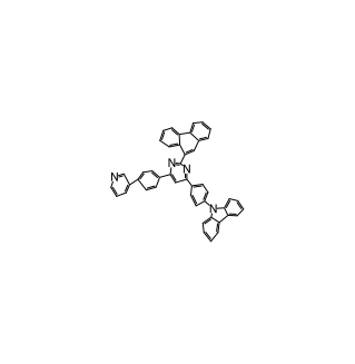 c1cncc(-c2ccc(-c3cc(-c4ccc(-n5c6ccccc6c6ccccc65)cc4)nc(-c4cc5ccccc5c5ccccc45)n3)cc2)c1